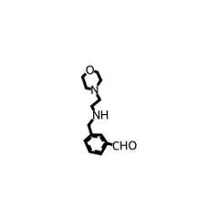 O=Cc1cccc(CNCCN2CCOCC2)c1